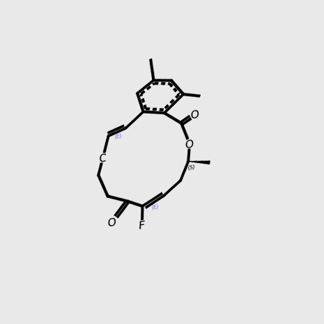 Cc1cc(C)c2c(c1)/C=C/CCCC(=O)/C(F)=C\C[C@H](C)OC2=O